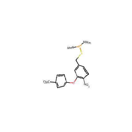 CNP(NC)SCc1ccc([N+](=O)[O-])c(Oc2ccc(C=O)cc2)c1